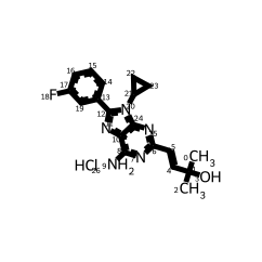 CC(C)(O)C=Cc1nc(N)c2nc(-c3cccc(F)c3)n(C3CC3)c2n1.Cl